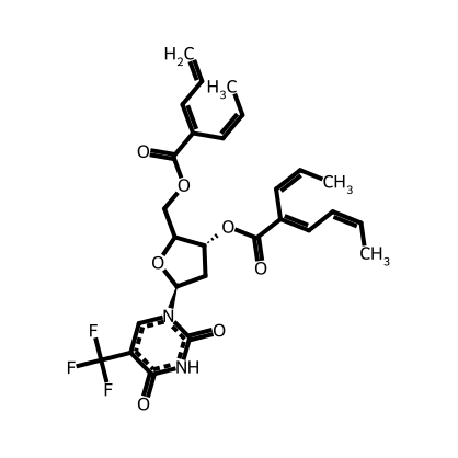 C=C/C=C(\C=C/C)C(=O)OCC1O[C@H](n2cc(C(F)(F)F)c(=O)[nH]c2=O)C[C@H]1OC(=O)C(/C=C\C)=C/C=C\C